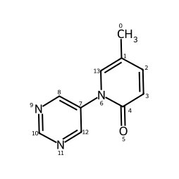 Cc1ccc(=O)n(-c2cncnc2)c1